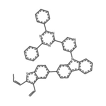 C=Cc1c(/C=C\C)sc2ccc(-c3ccc4c5ccccc5n(-c5cncc(-c6nc(-c7ccccc7)nc(-c7ccccc7)n6)c5)c4c3)cc12